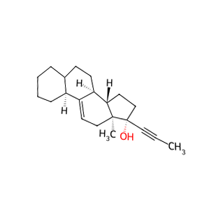 CC#C[C@]1(O)CC[C@H]2[C@@H]3CCC4CCCC[C@@H]4C3=CC[C@@]21C